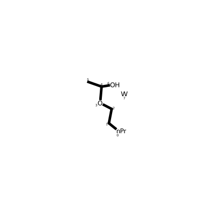 CCCCCOC(C)O.[W]